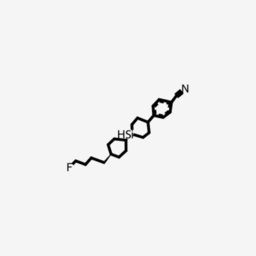 N#Cc1ccc(C2CC[SiH]([C@H]3CC[C@H](CCCCF)CC3)CC2)cc1